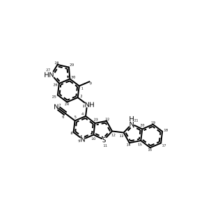 Cc1c(Nc2c(C#N)cnc3sc(-c4cc5ccccc5[nH]4)cc23)ccc2[nH]ccc12